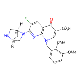 COc1cccc(Cn2cc(C(=O)O)c(=O)c3cc(F)c(N4C[C@@H]5C[C@H]4CN5)nc32)c1OC